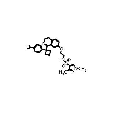 Cc1nn(C)cc1S(=O)(=O)NCCOc1ccc2c(c1)C(C1(c3ccc(Cl)cc3)CCC1)=NCC2